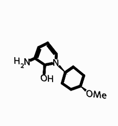 CO[C@H]1CC[C@@H](N2C=CC=C(N)C2O)CC1